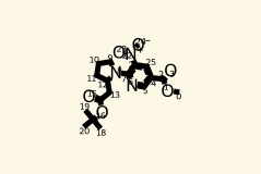 COC(=O)c1cnc(N2CCCC2CC(=O)OC(C)(C)C)c([N+](=O)[O-])c1